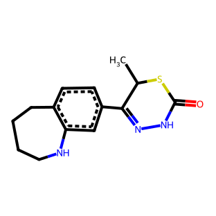 CC1SC(=O)NN=C1c1ccc2c(c1)NCCCC2